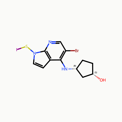 O[C@H]1CC[C@@H](Nc2c(Br)cnc3c2ccn3SI)C1